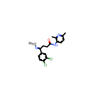 CO/N=C(\CCC(=O)Nc1ccc(C)nc1C)c1ccc(Cl)c(Cl)c1